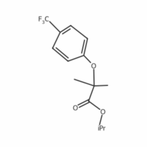 CC(C)OC(=O)C(C)(C)Oc1ccc(C(F)(F)F)cc1